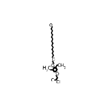 CCc1cc(OCC=C(Cl)Cl)cc(CC)c1OCCOCCCCCCCCCCCCCCCC=O